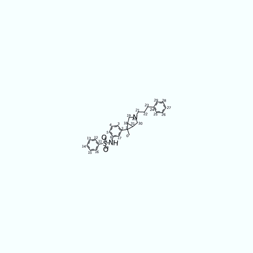 CC1(c2cccc(NS(=O)(=O)c3ccccc3)c2)C2CN(CCCc3ccccc3)CC21